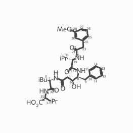 CC[C@H](C)[C@H](NC(=O)C[C@H](O)[C@H](Cc1ccccc1)NC(=O)[C@@H](NC(=O)Cc1cccc(OC)c1)C(C)C)C(=O)N[C@H](C(=O)O)C(C)C